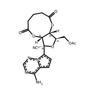 CC(=O)OC[C@H]1O[C@@](C#N)(c2ccc3c(N)ncnn23)[C@@H]2OC(=O)CCCC(=O)O[C@@H]21